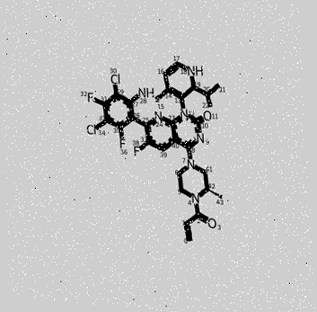 C=CC(=O)N1CCN(c2nc(=O)n(C3=C(C)C=CNC3C(C)C)c3nc(-c4c(N)c(Cl)c(F)c(Cl)c4F)c(F)cc23)C[C@H]1C